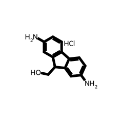 Cl.Nc1ccc2c(c1)C(CO)c1cc(N)ccc1-2